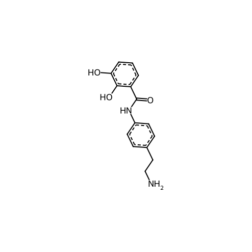 NCCc1ccc(NC(=O)c2cccc(O)c2O)cc1